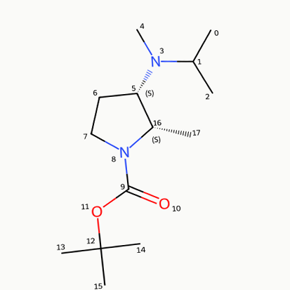 CC(C)N(C)[C@H]1CCN(C(=O)OC(C)(C)C)[C@H]1C